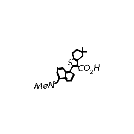 CNCc1cccc2c(-c3sc4c(c3C(=O)O)CC(C)(C)CC4)cccc12